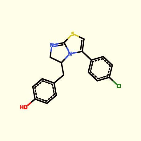 Oc1ccc(CC2CN=C3SC=C(c4ccc(Cl)cc4)N32)cc1